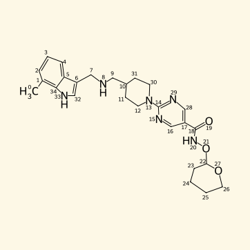 Cc1cccc2c(CNCC3CCN(c4ncc(C(=O)NOC5CCCCO5)cn4)CC3)c[nH]c12